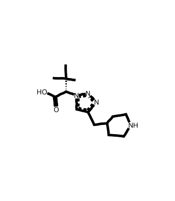 CC(C)(C)[C@@H](C(=O)O)n1cc(CC2CCNCC2)nn1